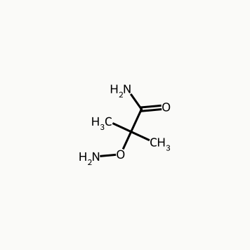 CC(C)(ON)C(N)=O